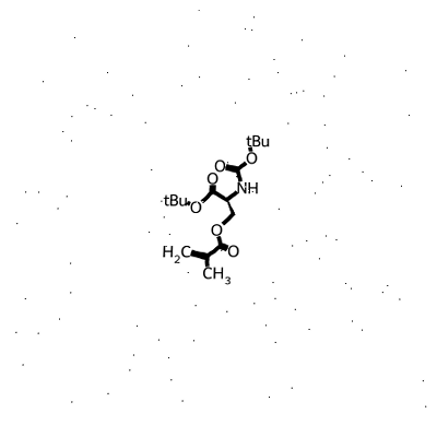 C=C(C)C(=O)OC[C@H](NC(=O)OC(C)(C)C)C(=O)OC(C)(C)C